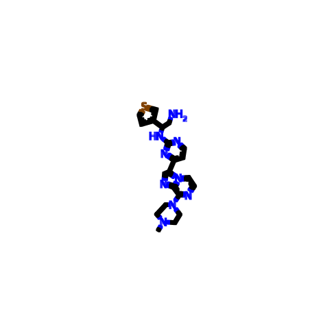 CN1CCN(c2nccn3c(-c4ccnc(NC(CN)c5ccsc5)n4)cnc23)CC1